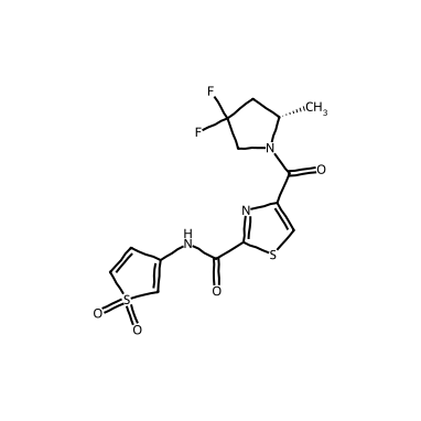 C[C@H]1CC(F)(F)CN1C(=O)c1csc(C(=O)NC2=CS(=O)(=O)C=C2)n1